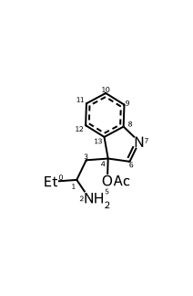 CCC(N)CC1(OC(C)=O)C=Nc2ccccc21